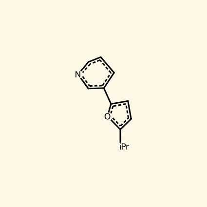 CC(C)c1ccc(-c2cccnc2)o1